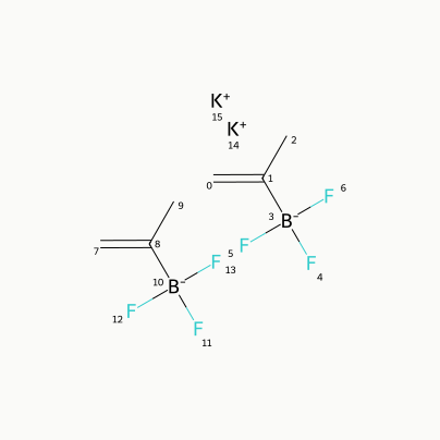 C=C(C)[B-](F)(F)F.C=C(C)[B-](F)(F)F.[K+].[K+]